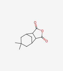 CC1(C)CC2CC(C1)C1C(=O)OC(=O)C21